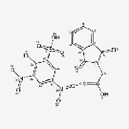 O=C(O)CN1C(=O)c2ccccc2C1=O.O=[N+]([O-])c1cc([N+](=O)[O-])c(Cl)c(S(=O)(=O)O)c1